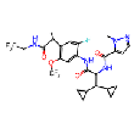 CC(C(=O)NCC(F)(F)F)c1cc(F)c(NC(=O)[C@@H](NC(=O)c2ccnn2C)C(C2CC2)C2CC2)cc1OC(F)(F)F